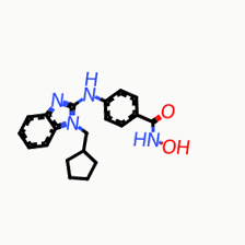 O=C(NO)c1ccc(Nc2nc3ccccc3n2CC2CCCC2)cc1